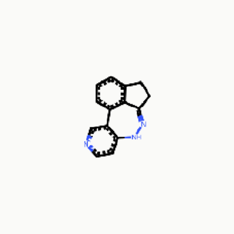 c1cc2c3c(c1)-c1cnccc1NN=C3CC2